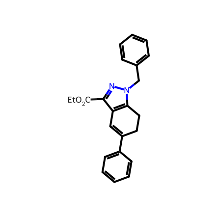 CCOC(=O)c1nn(Cc2ccccc2)c2c1C=C(c1ccccc1)CC2